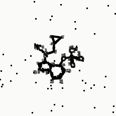 N#CN(CC1CC1)c1cnn2cccc(OS(=O)(=O)C(F)(F)F)c12